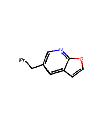 CC(C)Cc1cnc2occc2c1